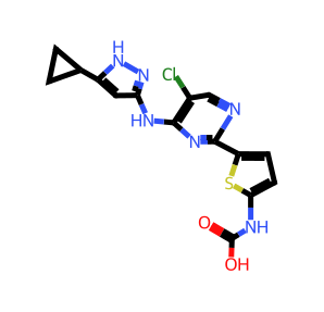 O=C(O)Nc1ccc(-c2ncc(Cl)c(Nc3cc(C4CC4)[nH]n3)n2)s1